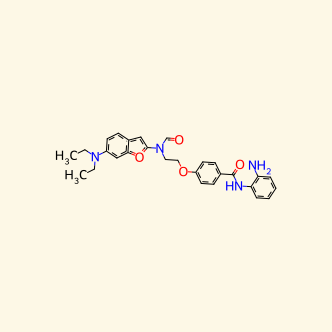 CCN(CC)c1ccc2cc(N(C=O)CCOc3ccc(C(=O)Nc4ccccc4N)cc3)oc2c1